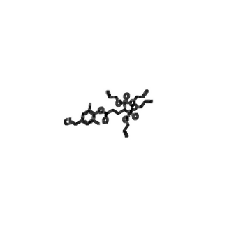 C=CCOP(=O)(OCC=C)C(CCC(=O)Oc1c(C)cc(CCl)cc1C)P(=O)(OCC=C)OCC=C